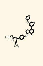 CC#CC(CC(=O)OC)c1ccc(O[C@@H]2CCc3c(-c4cncc(OC5CCOC5)c4)ccc(F)c32)cc1